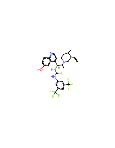 C=CC1CN(C(C)[C@@H](NC(=S)Nc2cc(C(F)(F)F)cc(C(F)(F)F)c2)c2ccnc3ccc(OC)cc23)CCC1C